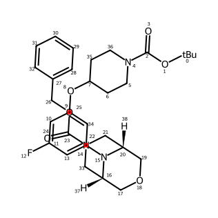 CC(C)(C)OC(=O)N1CCC(Oc2cc(F)cc(N3[C@@H]4COC[C@H]3CN(C(=O)OCc3ccccc3)C4)c2)CC1